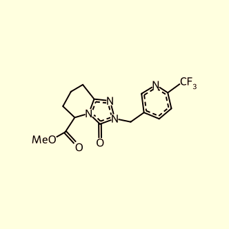 COC(=O)C1CCCc2nn(Cc3ccc(C(F)(F)F)nc3)c(=O)n21